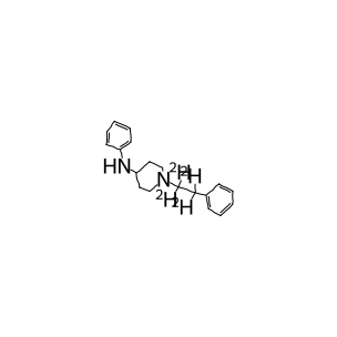 [2H]C([2H])(c1ccccc1)C([2H])([2H])N1CCC(Nc2ccccc2)CC1